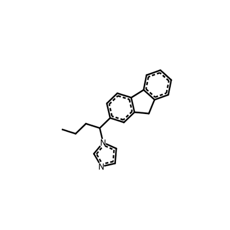 CCCC(c1ccc2c(c1)Cc1ccccc1-2)n1ccnc1